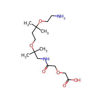 CC(C)(CCOC(C)(C)CNC(=O)COCC(=O)O)OCCN